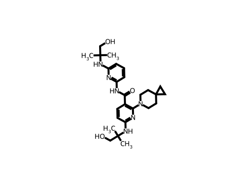 CC(C)(CO)Nc1cccc(NC(=O)c2ccc(NC(C)(C)CO)nc2N2CCC3(CC2)CC3)n1